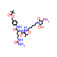 CC(C)[C@H](NC(=O)CCCCCN1C(=O)C(P)CC1O)C(=O)NC(CCCNC(N)=O)C(=O)Nc1ccc(COC(=O)C(C)(C)C)cc1